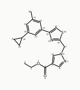 CCOC(=O)c1cnn(Cc2nc(-c3cc(C)cc(C4CC4)c3)cs2)c1